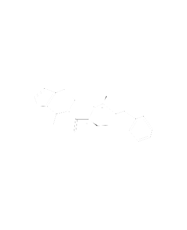 O=C(O)C1c2sccc2CCN1C(=O)[C@H](CO)N[C@H](CCc1ccccc1)C(=O)O